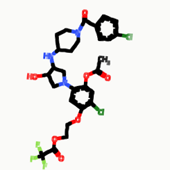 CC(=O)Oc1cc(Cl)c(OCCOC(=O)C(F)(F)F)cc1N1CC(O)C(NC2CCN(C(=O)c3ccc(Cl)cc3)CC2)C1